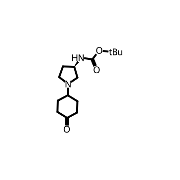 CC(C)(C)OC(=O)N[C@@H]1CCN(C2CCC(=O)CC2)C1